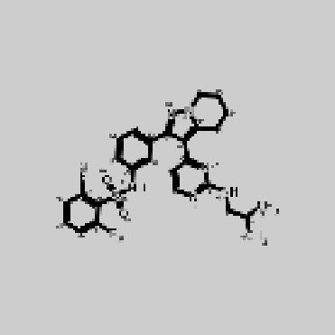 CC(C)CNc1nccc(-c2c(-c3cccc(NS(=O)(=O)c4c(F)cccc4F)c3)nn3c2CCCC3)n1